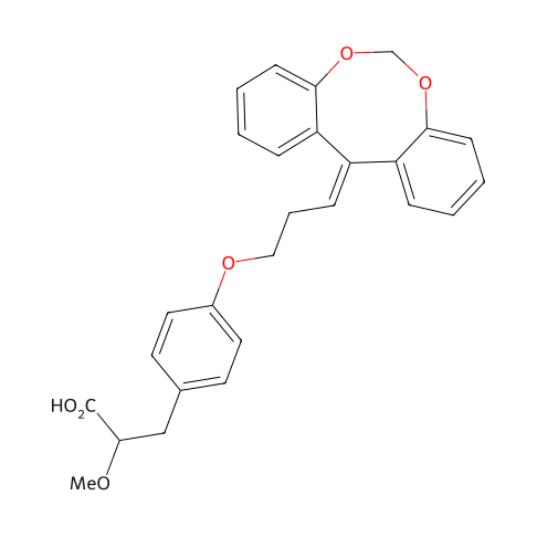 COC(Cc1ccc(OCCC=C2c3ccccc3OCOc3ccccc32)cc1)C(=O)O